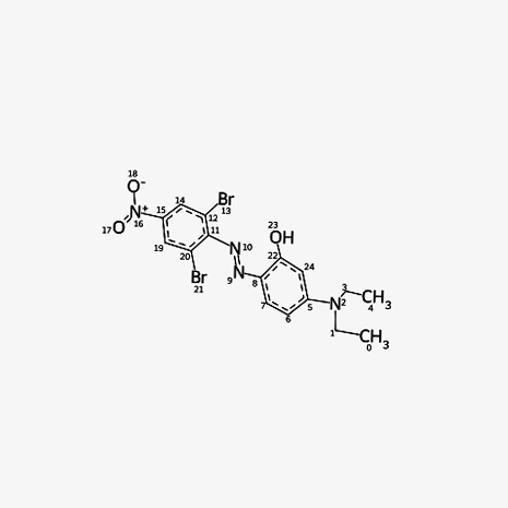 CCN(CC)c1ccc(N=Nc2c(Br)cc([N+](=O)[O-])cc2Br)c(O)c1